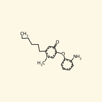 CCCCCCc1cc(=O)c(Oc2ccccc2N)cn1C